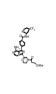 COCCC(=O)N1CCO[C@@H](c2nc(-c3ccc(C(=O)Nc4cc(C(F)(F)F)ccn4)cc3)c3c(N)nccn23)C1